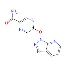 NC(=O)c1cnc(On2nnc3cccnc32)cn1